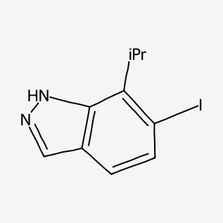 CC(C)c1c(I)ccc2cn[nH]c12